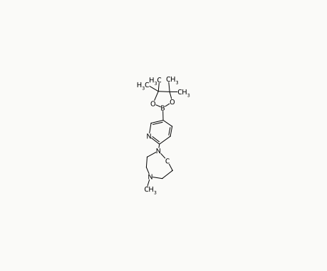 CN1CCCN(c2ccc(B3OC(C)(C)C(C)(C)O3)cn2)CC1